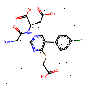 NCC(=O)N[C@H](CC(=O)O)C(=O)O.O=C(O)CSc1ncncc1-c1ccc(Cl)cc1